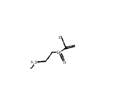 C=[C](Cl)[Co](=[O])[CH2]C[SiH2]C